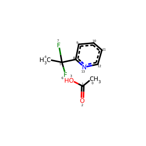 CC(=O)O.CC(F)(F)c1ccccn1